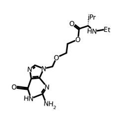 CCN[C@H](C(=O)OCCOCn1cnc2c(=O)[nH]c(N)nc21)C(C)C